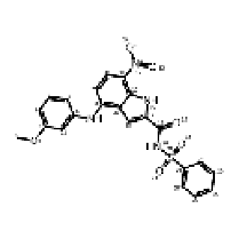 COc1cccc(Nc2ccc([N+](=O)[O-])c3[nH]c(C(=O)NS(=O)(=O)c4ccccc4)cc23)c1